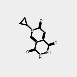 O=c1[nH][nH]c(=O)c2cn(C3CC3)c(=O)cc12